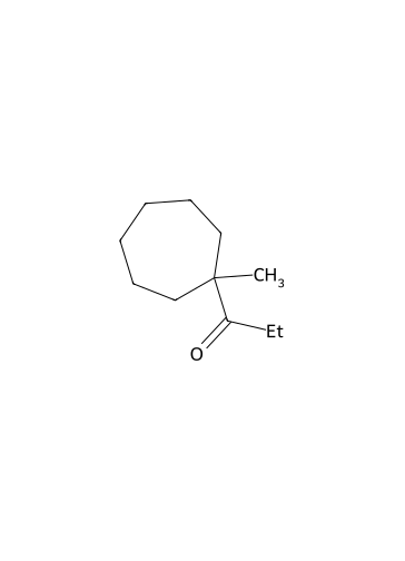 CCC(=O)C1(C)CCCCCC1